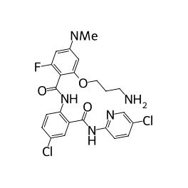 CNc1cc(F)c(C(=O)Nc2ccc(Cl)cc2C(=O)Nc2ccc(Cl)cn2)c(OCCCN)c1